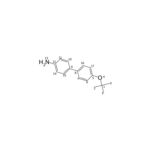 CC(C)(C)Oc1ccc(-c2ccc(N)cc2)cc1